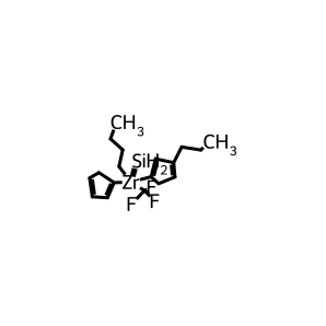 CCC[CH2][Zr](=[SiH2])([C]1=CC=CC1)([C]1=CC(CCC)=CC1)[C](F)(F)F